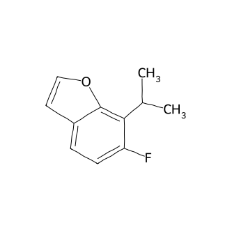 CC(C)c1c(F)ccc2ccoc12